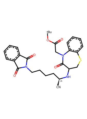 CC(C)(C)OC(=O)CN1C(=O)C(N[C@@H](C#N)CCCCN2C(=O)c3ccccc3C2=O)CSc2ccccc21